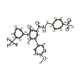 COc1ncc(-c2cc(C(=O)NCc3ccc(S(C)(=O)=O)cc3)c(=O)n(-c3cccc(C(F)(F)F)c3)c2C)cn1